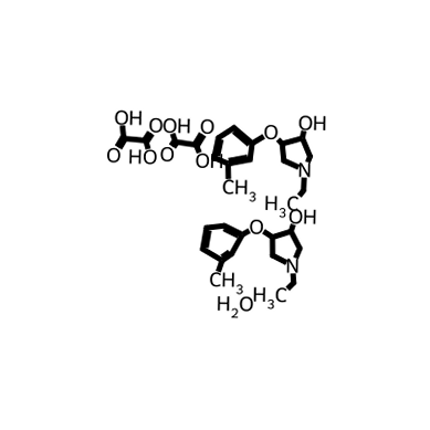 CCN1CC(O)C(Oc2cccc(C)c2)C1.CCN1CC(O)C(Oc2cccc(C)c2)C1.O.O=C(O)C(=O)O.O=C(O)C(=O)O